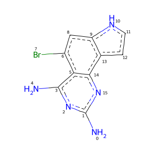 Nc1nc(N)c2c(Br)cc3[nH]ccc3c2n1